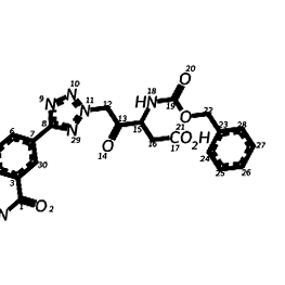 CNC(=O)c1cccc(-c2nnn(CC(=O)C(CC(=O)O)NC(=O)OCc3ccccc3)n2)c1